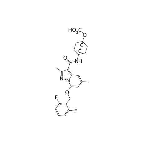 Cc1cc(OCc2c(F)cccc2F)n2nc(C)c(C(=O)NC34CCC(OC(=O)O)(CC3)CC4)c2c1